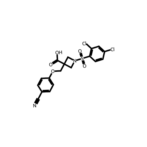 N#Cc1ccc(OCC2(C(=O)O)CN(S(=O)(=O)c3ccc(Cl)cc3Cl)C2)cc1